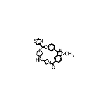 Cn1nc(-c2ccccc2)c2cc(C(=O)N3CC(N[C@H]4CCN(C(=O)c5cscn5)C4)C3)ccc21